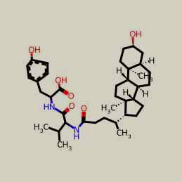 CC(C)C(NC(=O)CCC(C)[C@H]1CC[C@H]2[C@@H]3CC[C@@H]4C[C@H](O)CC[C@]4(C)[C@H]3CC[C@]12C)C(=O)NC(Cc1ccc(O)cc1)C(=O)O